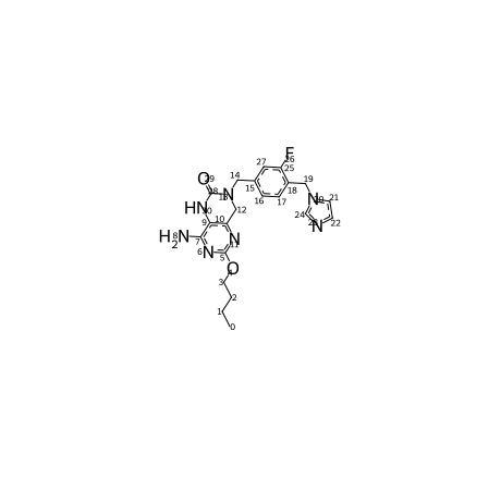 CCCCOc1nc(N)c2c(n1)CN(Cc1ccc(Cn3ccnc3)c(F)c1)C(=O)N2